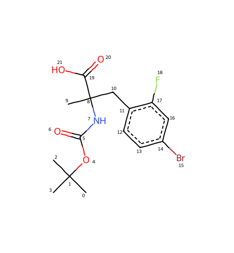 CC(C)(C)OC(=O)NC(C)(Cc1ccc(Br)cc1F)C(=O)O